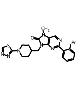 CC(C)c1ccccc1-c1ncc2c(n1)n(CC1CCN(c3nncs3)CC1)c(=O)n2C